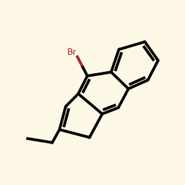 CCC1=Cc2c(cc3ccccc3c2Br)C1